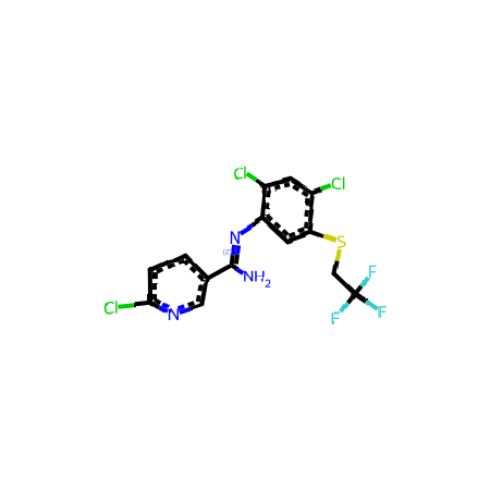 N/C(=N\c1cc(SCC(F)(F)F)c(Cl)cc1Cl)c1ccc(Cl)nc1